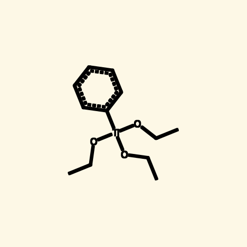 CC[O][Ti]([O]CC)([O]CC)[c]1ccccc1